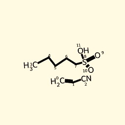 C=CC#N.CCCCCS(=O)(=O)O